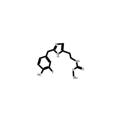 CC(C)(C)OC(=O)NCCc1cnc(Cc2ccc(C#N)c(F)c2)[nH]1